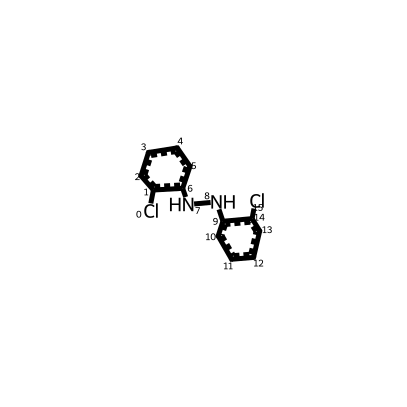 Clc1ccccc1NNc1ccccc1Cl